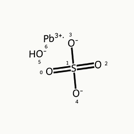 O=S(=O)([O-])[O-].[OH-].[Pb+3]